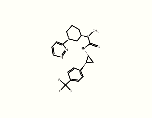 CN(C(=O)N[C@@H]1C[C@H]1c1ccc(C(F)(F)F)cc1)[C@@H]1CCCN(c2cccnn2)C1